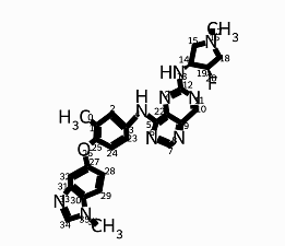 Cc1cc(Nc2ncnc3cnc(N[C@H]4CN(C)C[C@H]4F)nc23)ccc1Oc1ccc2c(c1)ncn2C